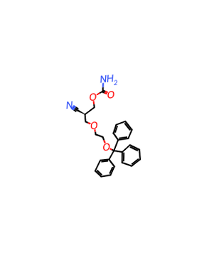 N#C[C@H](COCCOC(c1ccccc1)(c1ccccc1)c1ccccc1)COC(N)=O